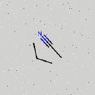 CC#N.CCC